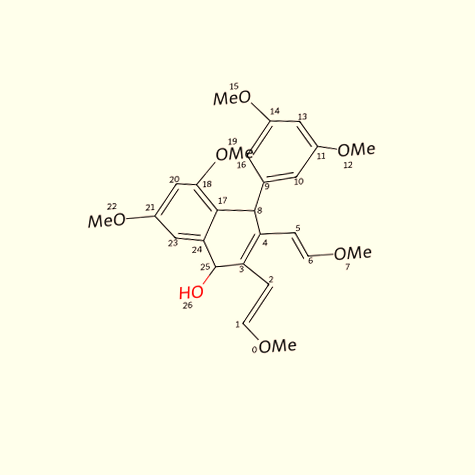 CO/C=C/C1=C(/C=C/OC)C(c2cc(OC)cc(OC)c2)c2c(OC)cc(OC)cc2C1O